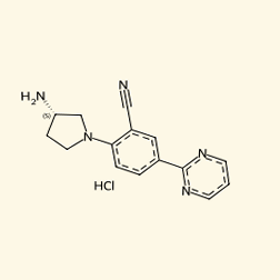 Cl.N#Cc1cc(-c2ncccn2)ccc1N1CC[C@H](N)C1